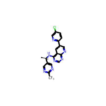 C[C@@H](Nc1ncnc2ncc(-c3ccc(Cl)cn3)cc12)c1cnc(C(F)(F)F)nc1